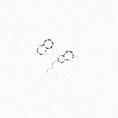 O=C(O)CCCc1cc2nc(Cl)ccc2n1S(=O)(=O)c1cccc2nccnc12